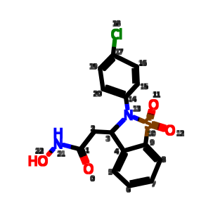 O=C(CC1c2ccccc2S(=O)(=O)N1c1ccc(Cl)cc1)NO